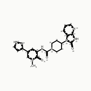 Cn1cc(-c2cc[nH]n2)cc(NC(=O)N2CCC(n3c(=O)[nH]c4ncccc43)CC2)c1=O